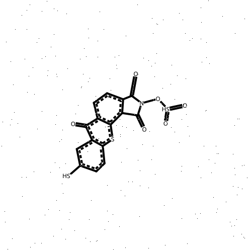 O=C1c2ccc3c(=O)c4cc(S)ccc4sc3c2C(=O)N1O[SH](=O)=O